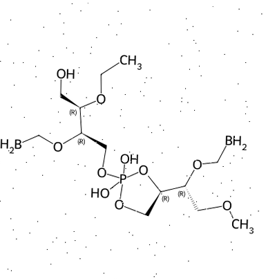 BCO[C@H](COP1(O)(O)OC[C@H]([C@@H](COC)OCB)O1)[C@@H](CO)OCC